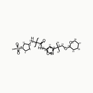 CC(C)(N[C@H]1CCN(S(C)(=O)=O)C1)C(=O)Nc1cc(C(C)(C)COC2CCCCO2)no1